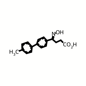 Cc1ccc(-c2ccc(C(CCC(=O)O)=NO)cc2)cc1